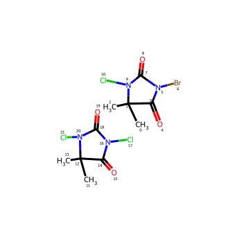 CC1(C)C(=O)N(Br)C(=O)N1Cl.CC1(C)C(=O)N(Cl)C(=O)N1Cl